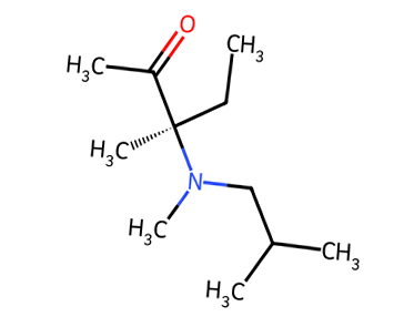 CC[C@](C)(C(C)=O)N(C)CC(C)C